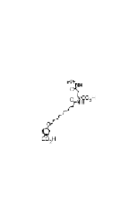 CCCNC(=O)CC[C@H](NC(=O)CCCCCCCCCOc1ccc(C(=O)O)cc1)C(=O)O